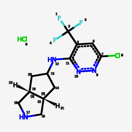 Cl.FC(F)(F)c1cc(Cl)nnc1NC1C[C@H]2CNC[C@H]2C1